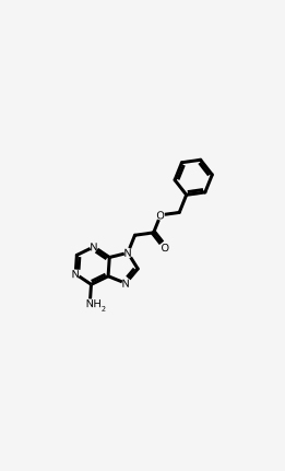 Nc1ncnc2c1ncn2CC(=O)OCc1ccccc1